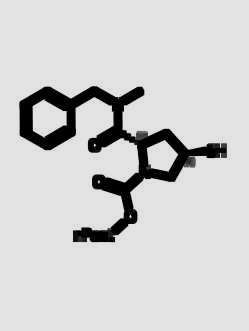 CCCCCOC(=O)N1C[C@H](S)C[C@H]1C(=O)N(C)Cc1ccccc1